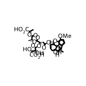 COc1ccc2c3c1O[C@@H]1C(OC(=O)C[C@H](OC(=O)[C@H](O)[C@@H](O)C(=O)O)C(=O)O[C@@H](C)C(=O)O[C@@H](C)C(=O)O)=CC[C@]4(O)[C@H](C2)N(C)CC[C@@]314